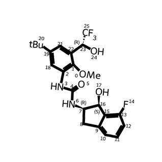 COc1c(NC(=O)N[C@@H]2Cc3cccc(F)c3[C@@H]2O)cc(C(C)(C)C)cc1[C@@H](O)C(F)(F)F